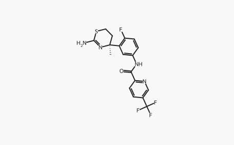 C[C@@]1(c2cc(NC(=O)c3ccc(C(F)(F)F)cn3)ccc2F)CCSC(N)=N1